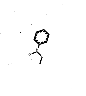 CO[NH+]([O-])c1ccccc1